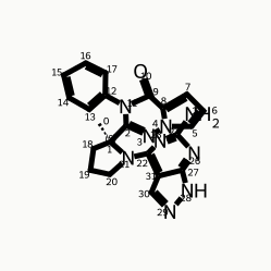 C[C@@]1(c2nn3cccc3c(=O)n2-c2ccccc2)CCCN1c1nc(N)nc2[nH]ncc12